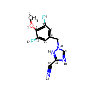 COc1c(F)cc(Cn2cnc(C#N)n2)cc1F